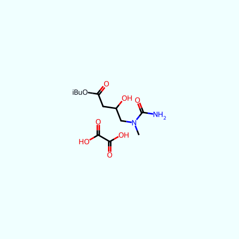 CC(C)COC(=O)CC(O)CN(C)C(N)=O.O=C(O)C(=O)O